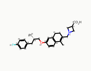 CC1=C(CN2CC(C(=O)O)C2)CCc2cc(OC[C@H](Cc3ccc(F)cc3)C(C)C)ccc21